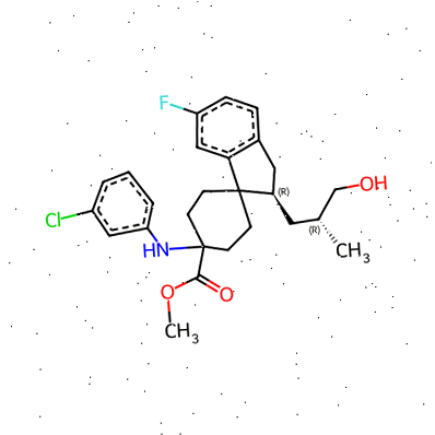 COC(=O)C1(Nc2cccc(Cl)c2)CCC2(CC1)c1cc(F)ccc1C[C@H]2C[C@@H](C)CO